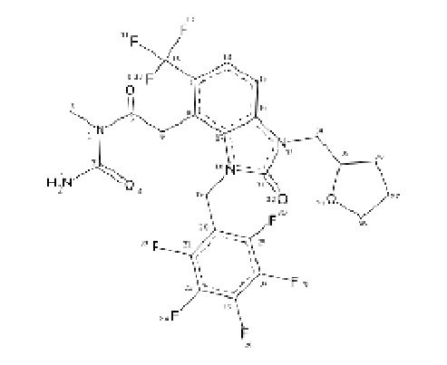 CN(C(N)=O)C(=O)Cc1c(C(F)(F)F)ccc2c1n(Cc1c(F)c(F)c(F)c(F)c1F)c(=O)n2CC1CCCO1